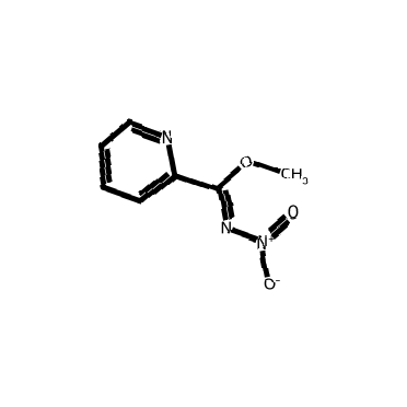 COC(=N[N+](=O)[O-])c1ccccn1